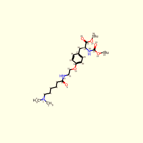 CN(C)CCCCCC(=O)NCCOc1ccc(C[C@H](NC(=O)OC(C)(C)C)C(=O)OC(C)(C)C)cc1